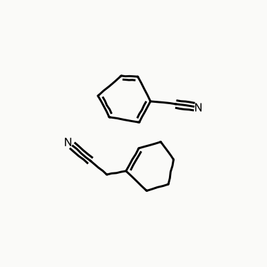 N#CCC1=CCCCC1.N#Cc1ccccc1